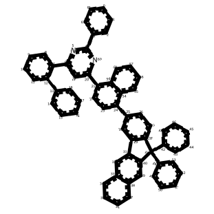 c1ccc(-c2nc(-c3ccccc3-c3ccccc3)cc(-c3ccc(-c4ccc5c(c4)-c4cc6ccccc6cc4C5(c4ccccc4)c4ccccc4)c4ccccc34)n2)cc1